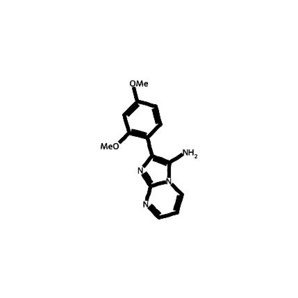 COc1ccc(-c2nc3ncccn3c2N)c(OC)c1